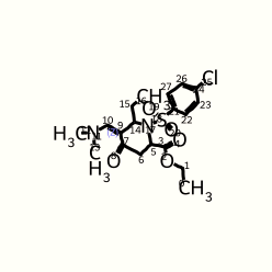 CCOC(=O)C1CC(=O)/C(=C\N(C)C)C(CC)N1S(=O)(=O)c1ccc(Cl)cc1